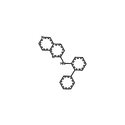 c1ccc(-c2ccccc2Nc2ccc3cnccc3n2)cc1